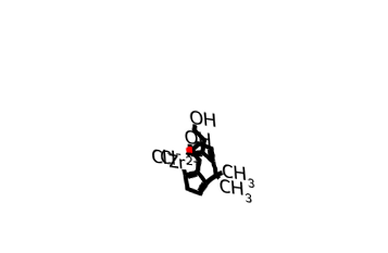 CC1(C)C2=CC[C](=C2CCO)[Zr+2][C]2=C(CCO)C1=CC2.[Cl-].[Cl-]